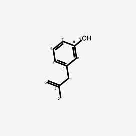 C=C(C)Cc1cccc(O)c1